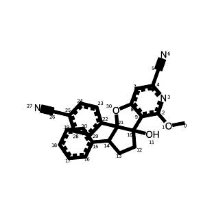 COc1nc(C#N)cc2c1C1(O)CCC(c3ccccc3)C1(c1ccc(C#N)cc1)O2